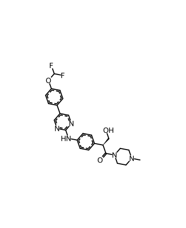 CN1CCN(C(=O)[C@H](CO)c2ccc(Nc3ncc(-c4ccc(OC(F)F)cc4)cn3)cc2)CC1